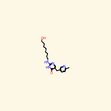 Cc1ccc(Cc2cnc(NCCCCCCCCO)[nH]c2=O)cn1